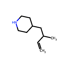 C=CC(C)[CH]C1CCNCC1